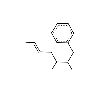 CC=CCC(CC)C(C)Cc1ccccc1